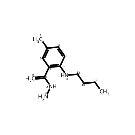 C=C(NN)c1cc(C)ccc1NCCCC